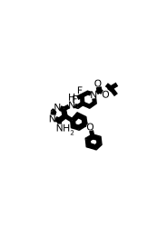 CC(C)(C)OC(=O)N1CCC(CNc2ncnc(N)c2-c2ccc(Oc3ccccc3)cc2)C(F)(F)C1